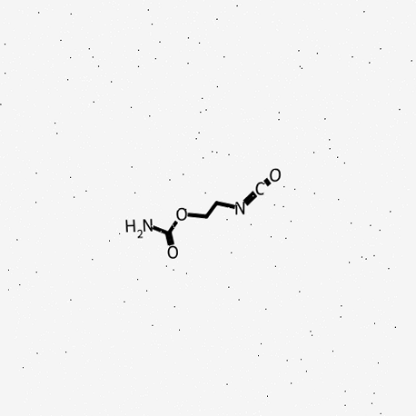 NC(=O)OCCN=C=O